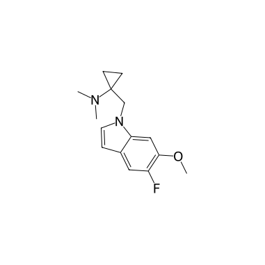 COc1cc2c(ccn2CC2(N(C)C)CC2)cc1F